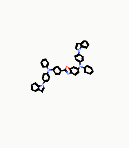 c1ccc(N(c2ccc(-c3nc4ccc(N(c5ccccc5)c5ccc(-n6ccc7ccccc76)cc5)cc4o3)cc2)c2ccc(-n3ccc4ccccc43)cc2)cc1